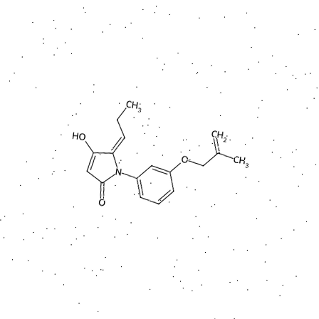 C=C(C)COc1cccc(N2C(=O)C=C(O)C2=CCC)c1